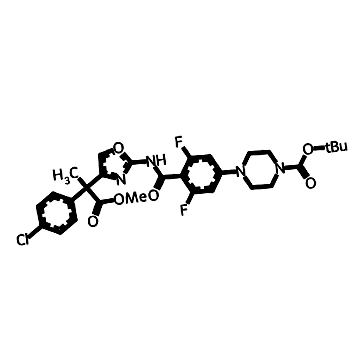 COC(=O)C(C)(c1ccc(Cl)cc1)c1coc(NC(=O)c2c(F)cc(N3CCN(C(=O)OC(C)(C)C)CC3)cc2F)n1